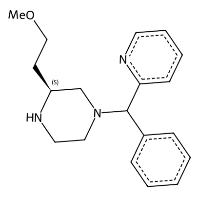 COCC[C@H]1CN(C(c2ccccc2)c2ccccn2)CCN1